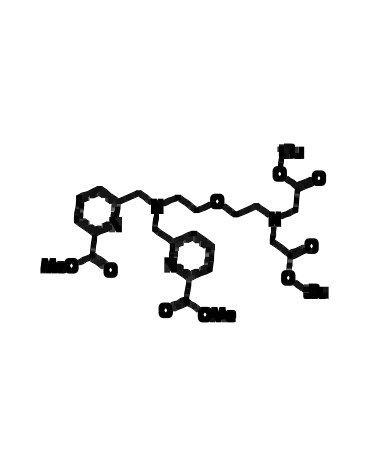 COC(=O)c1cccc(CN(CCOCCN(CC(=O)OC(C)(C)C)CC(=O)OC(C)(C)C)Cc2cccc(C(=O)OC)n2)n1